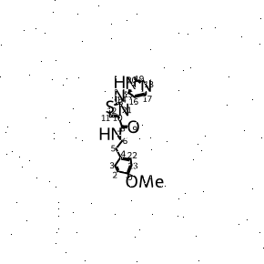 COc1ccc(CCNC(=O)c2csc(Nc3ccncn3)n2)cc1